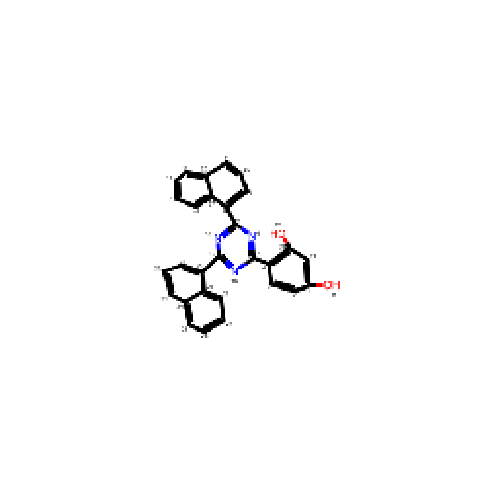 Oc1ccc(-c2nc(-c3cccc4ccccc34)nc(-c3cccc4ccccc34)n2)c(O)c1